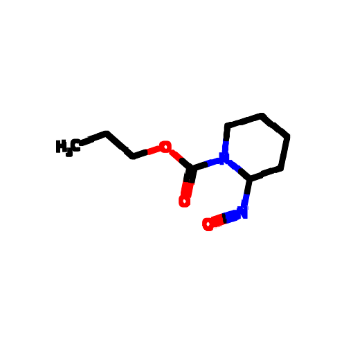 CCCOC(=O)N1CCCCC1N=O